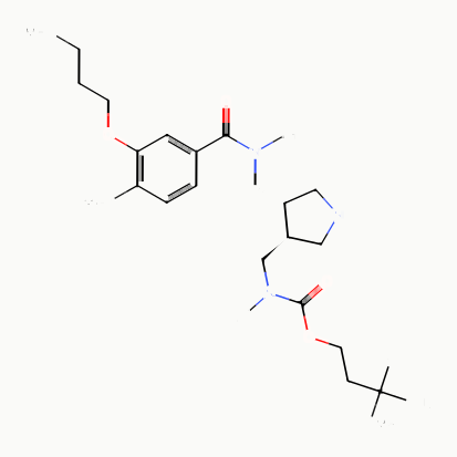 COCCCOc1cc(C(=O)N(C[C@@H]2CNC[C@H]2CN(C)C(=O)OCCC(C)(C)OC)C(C)C)ccc1OC